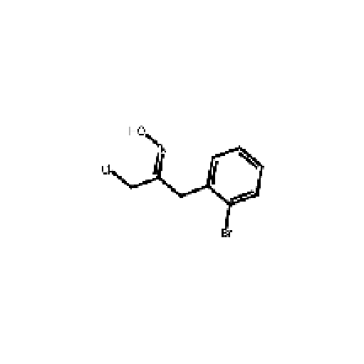 ON=C(CCl)Cc1ccccc1Br